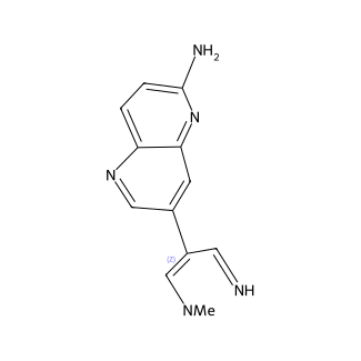 CN/C=C(\C=N)c1cnc2ccc(N)nc2c1